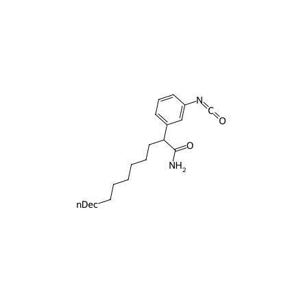 CCCCCCCCCCCCCCCCC(C(N)=O)c1cccc(N=C=O)c1